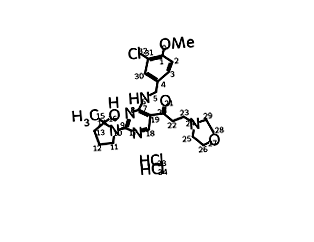 COc1ccc(CNc2nc(N3CCCC3(C)O)ncc2C(=O)CCN2CCOCC2)cc1Cl.Cl.Cl